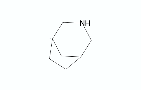 C1CC2CNC[C]1C2